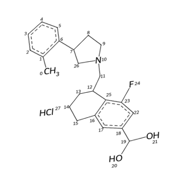 Cc1ccccc1C1CCN(CC2CCCc3cc(C(O)O)cc(F)c32)C1.Cl